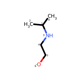 CC(C)NCC[O]